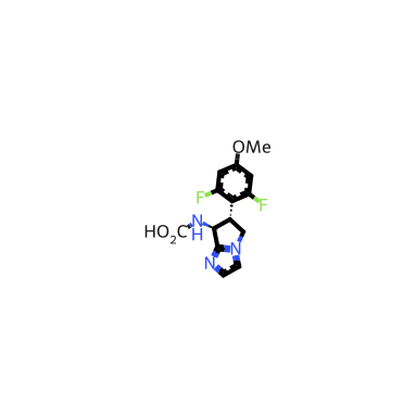 COc1cc(F)c([C@@H]2Cn3ccnc3[C@H]2NC(=O)O)c(F)c1